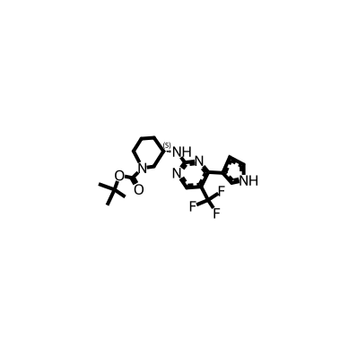 CC(C)(C)OC(=O)N1CCC[C@H](Nc2ncc(C(F)(F)F)c(-c3cc[nH]c3)n2)C1